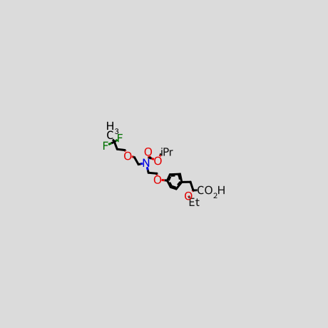 CCOC(Cc1ccc(OCCN(CCOCCC(C)(F)F)C(=O)OC(C)C)cc1)C(=O)O